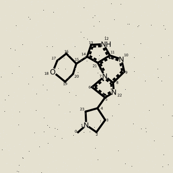 CN1CCC(c2cn3c(cnc4[nH]cc(C5CCOCC5)c43)n2)C1